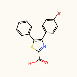 O=C(O)c1nc(-c2ccc(Br)cc2)c(-c2ccccc2)s1